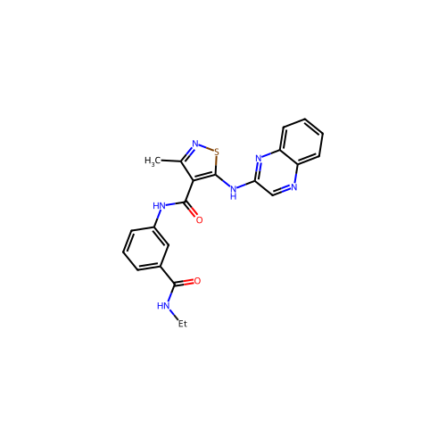 CCNC(=O)c1cccc(NC(=O)c2c(C)nsc2Nc2cnc3ccccc3n2)c1